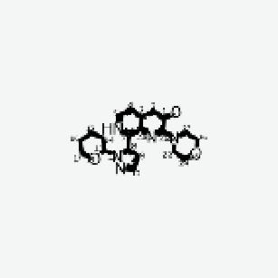 O=c1cc2cc[nH]c(-c3ccnn3C3CCCCO3)c-2nc1N1CCOCC1